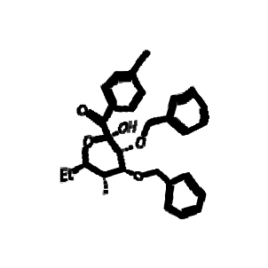 CC[C@H]1O[C@@](O)(C(=O)c2ccc(C)cc2)[C@H](OCc2ccccc2)[C@@H](OCc2ccccc2)[C@@H]1C